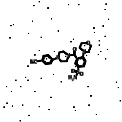 N#Cc1ccc(N2CCN(C(=O)c3cc(S(N)(=O)=O)ccc3N3CCOCC3)CC2)cc1